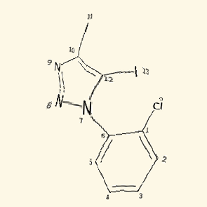 Clc1ccccc1-n1nnc(I)c1I